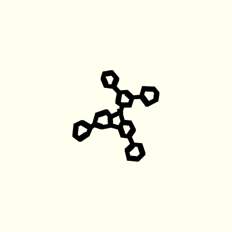 c1ccc(-c2cc(-c3ccccc3)cc(-n3c4ccc(-c5ccccc5)cc4c4cc(-c5ccccc5)ccc43)c2)cc1